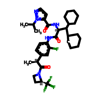 CC(C)n1nccc1C(=O)N[C@H](C(=O)Nc1ccc([C@H](C)C(=O)N2CC[C@H]2C(F)(F)F)cc1F)C(C1CCCCC1)C1CCCCC1